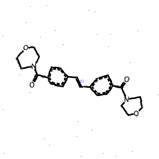 O=C(c1ccc(/C=C/c2ccc(C(=O)N3CCOCC3)cc2)cc1)N1CCOCC1